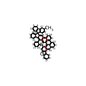 CC1C=CC(C2(c3ccccc3)c3ccccc3-c3c(-c4ccccc4N(c4ccc5c6c(oc5c4)C=CCC6)c4ccccc4-c4cccc5cccc(-c6ccccc6)c45)cccc32)=CC1